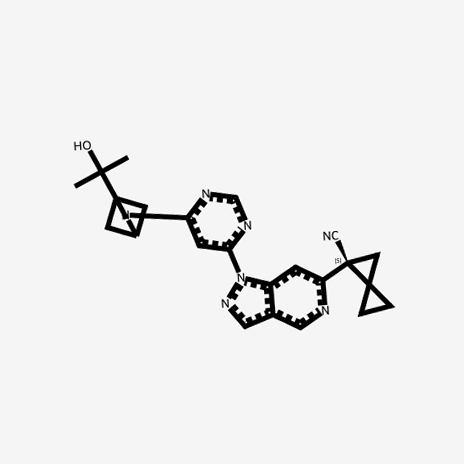 CC(C)(O)C12CC(C1)N(c1cc(-n3ncc4cnc([C@]5(C#N)CC56CC6)cc43)ncn1)C2